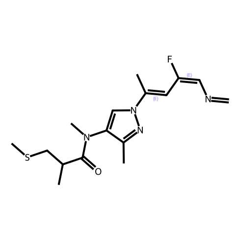 C=N/C=C(F)\C=C(/C)n1cc(N(C)C(=O)C(C)CSC)c(C)n1